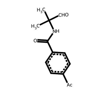 CC(=O)c1ccc(C(=O)NC(C)(C)C=O)cc1